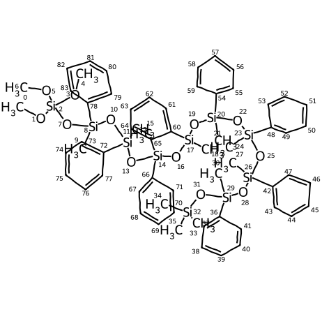 CO[Si](OC)(OC)O[Si](C)(O[Si](C)(O[Si](C)(O[Si](C)(O[Si](C)(O[Si](C)(O[Si](C)(O[Si](C)(O[Si](C)(C)C)c1ccccc1)c1ccccc1)c1ccccc1)c1ccccc1)c1ccccc1)c1ccccc1)c1ccccc1)c1ccccc1